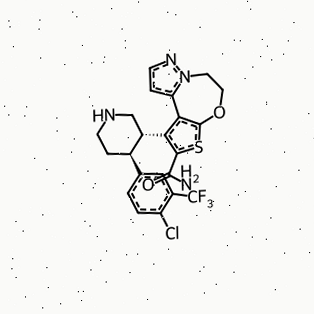 NC(=O)c1sc2c(c1[C@H]1CNCC[C@@H]1c1ccc(Cl)c(C(F)(F)F)c1)-c1ccnn1CCO2